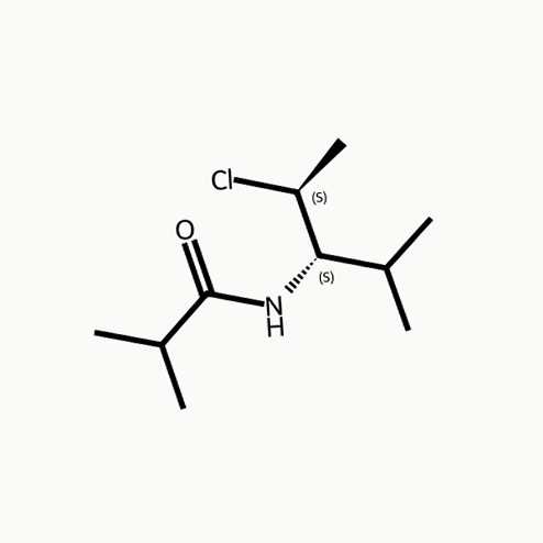 CC(C)C(=O)N[C@@H](C(C)C)[C@H](C)Cl